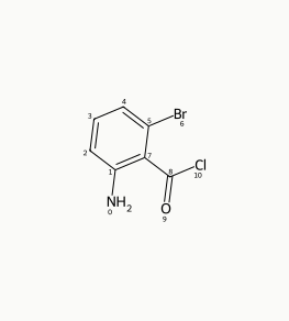 Nc1cccc(Br)c1C(=O)Cl